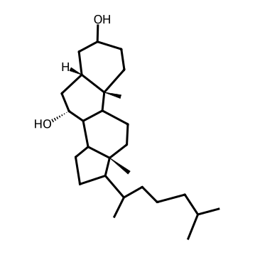 CC(C)CCCC(C)C1CCC2C3C(CC[C@]12C)[C@@]1(C)CCC(O)C[C@H]1C[C@H]3O